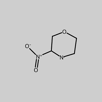 O=[N+]([O-])C1COCC[N]1